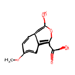 COc1ccc2c(O)oc(C(=O)O)c2c1